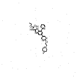 CCOC(=O)Nc1nc2cc(-c3cnc(OCCN4CCN(C)CC4)nc3)cc(-c3ncccn3)c2[nH]1